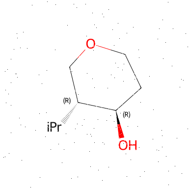 CC(C)[C@@H]1COCC[C@H]1O